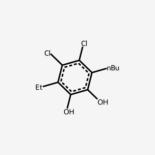 CCCCc1c(O)c(O)c(CC)c(Cl)c1Cl